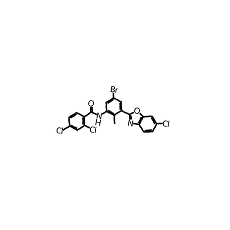 Cc1c(NC(=O)c2ccc(Cl)cc2Cl)cc(Br)cc1-c1nc2ccc(Cl)cc2o1